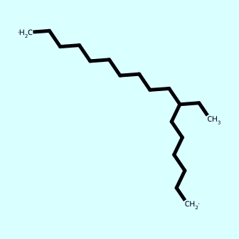 [CH2]CCCCCCCCCC(CC)CCCCC[CH2]